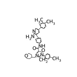 C=C1N(CC2CCOCC2)C=C(C(=O)Nc2ccc(-c3cc(-c4ccc(C)c(C)c4)cnc3N)cc2)C(=O)N1c1ccc(C)cc1